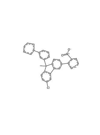 CC1(c2cccc(-c3ccccc3)c2)c2ccc(Cl)cc2-c2cc(-c3ccccc3[N+](=O)[O-])ccc21